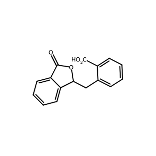 O=C(O)c1ccccc1CC1OC(=O)c2ccccc21